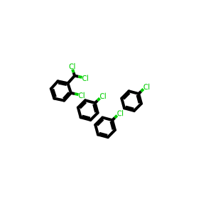 Clc1ccccc1.Clc1ccccc1.Clc1ccccc1.Clc1ccccc1C(Cl)Cl